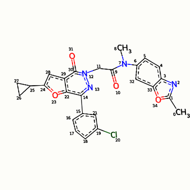 Cc1nc2ccc(N(C)C(=O)Cn3nc(-c4cccc(Cl)c4)c4oc(C5CC5)cc4c3=O)cc2o1